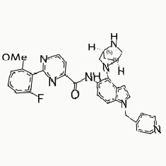 COc1cccc(F)c1-c1nccc(C(=O)Nc2ccc3c(ccn3Cc3ccncc3)c2N2C[C@@H]3C[C@H]2CN3)n1